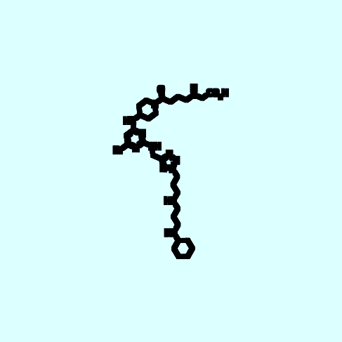 CCc1cc(NC2CCN(C(=O)CCCNCC(=O)O)CC2)nc(NCc2nnn(CCCNCCCNC3CCCCC3)n2)n1